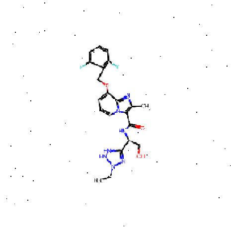 CCN1N=C([C@H](CO)NC(=O)c2c(C)nc3c(OCc4c(F)cccc4F)cccn23)NN1